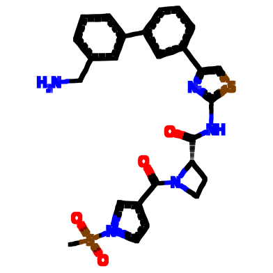 CS(=O)(=O)n1ccc(C(=O)N2CC[C@H]2C(=O)Nc2nc(-c3cccc(-c4cccc(CN)c4)c3)cs2)c1